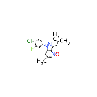 Cc1cc2c(c(CC(C)C)nn2-c2ccc(Cl)c(F)c2)[n+]([O-])c1